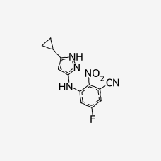 N#Cc1cc(F)cc(Nc2cc(C3CC3)[nH]n2)c1[N+](=O)[O-]